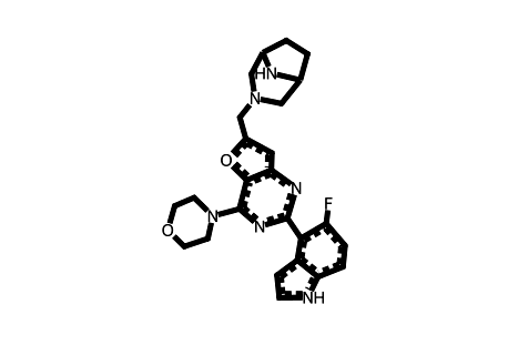 Fc1ccc2[nH]ccc2c1-c1nc(N2CCOCC2)c2oc(CN3CC4CCC(C3)N4)cc2n1